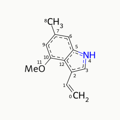 C=Cc1c[nH]c2cc(C)cc(OC)c12